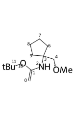 C=C(NC1(COC)CCCC1)OC(C)(C)C